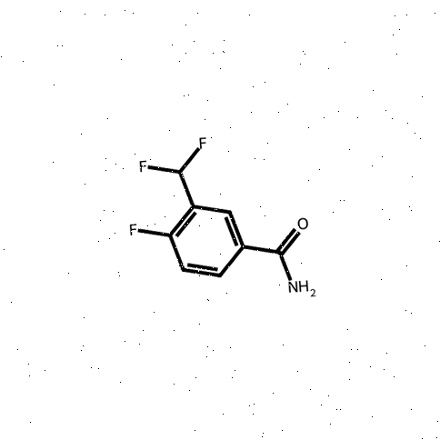 NC(=O)c1ccc(F)c(C(F)F)c1